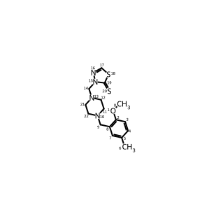 COc1ccc(C)cc1CN1CCN(Cn2ncsc2=S)CC1